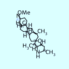 CO/N=C1\CC[C@@]2(C)[C@H](CC[C@H]3[C@@H]4CC[C@@]5(CC(C)=C4C[C@@H]32)O[C@@H]2C[C@H](C)CN[C@H]2[C@H]5C)C1